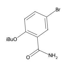 CC(C)COc1ccc(Br)cc1C(N)=O